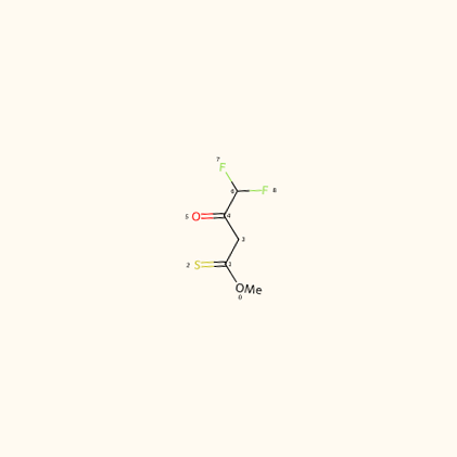 COC(=S)CC(=O)C(F)F